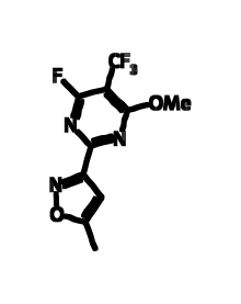 COc1nc(-c2cc(C)on2)nc(F)c1C(F)(F)F